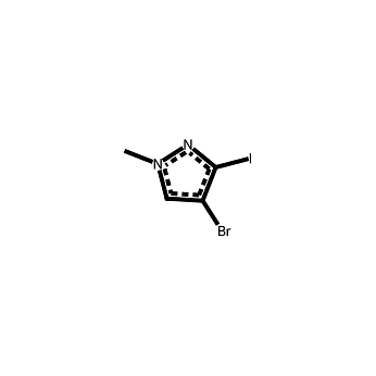 Cn1cc(Br)c(I)n1